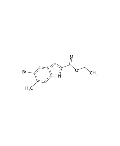 CCOC(=O)c1cn2cc(Br)c(C)cc2n1